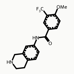 COc1ccc(C(=O)Nc2ccc3c(c2)CNCC3)cc1C(F)(F)F